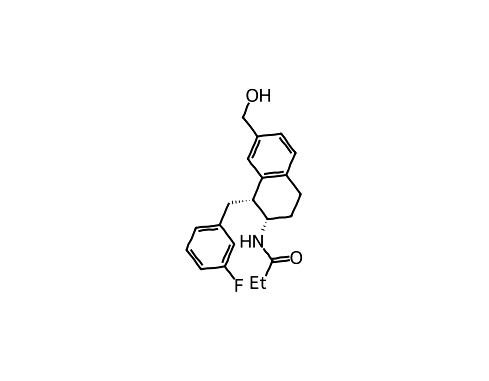 CCC(=O)N[C@H]1CCc2ccc(CO)cc2[C@H]1Cc1cccc(F)c1